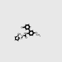 COc1ccc(NC(=O)OC[C@@H]2CCCN2C)c(-c2cccc(Cl)c2)c1